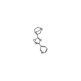 c1cncc(-c2noc(C3CN4CCC3CC4)n2)c1